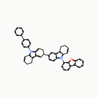 C1=Cc2c(c3c(n2-c2ccc(-c4ccccc4)cc2)=CCC(c2ccc4c(c2)c2c(n4-c4cccc5c4oc4ccccc45)C=CCC2)C=3)CC1